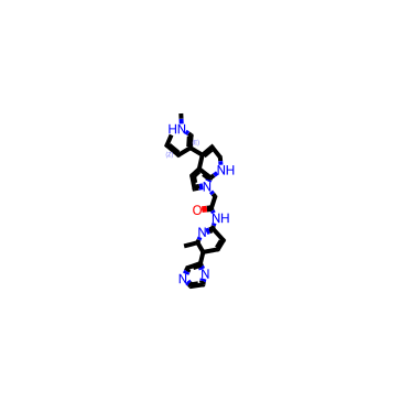 C/C=C\C(=C/NC)C1=CCNc2c1ccn2CC(=O)NC1=NC(C)C(c2cnccn2)C=C1